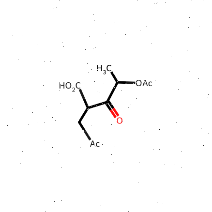 CC(=O)CC(C(=O)O)C(=O)C(C)OC(C)=O